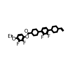 C=CC1CCC(c2ccc(C3CCC(C(=O)Oc4ccc(OCC)c(F)c4F)CC3)c(F)c2F)CC1